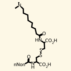 CCCCCCCCCC(=O)NC(CSSCC(NC(=O)CCCCCCCCN(C)C)C(=O)O)C(=O)O